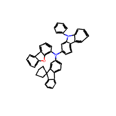 c1ccc(-n2c3ccccc3c3ccc(N(c4ccc5c(c4)C4(CCCC4)c4ccccc4-5)c4cccc5c4oc4ccccc45)cc32)cc1